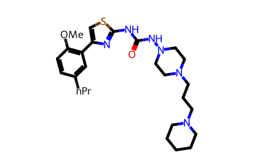 CCCc1ccc(OC)c(-c2csc(NC(=O)NN3CCN(CCCN4CCCCC4)CC3)n2)c1